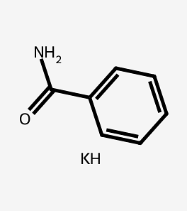 NC(=O)c1ccccc1.[KH]